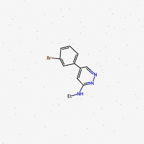 CCNc1cc(-c2cccc(Br)c2)cnn1